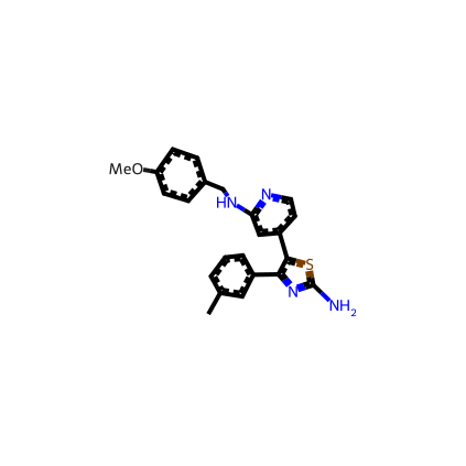 COc1ccc(CNc2cc(-c3sc(N)nc3-c3cccc(C)c3)ccn2)cc1